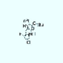 CCC[C@H](N[C@H]1CCc2cc(Cl)cc(F)c2C1)C(=O)OC(C)(C)C.Cl